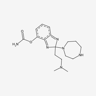 CN(C)CCC1(N2CCCNCC2)N=c2cccc(OC(N)=O)c2=N1